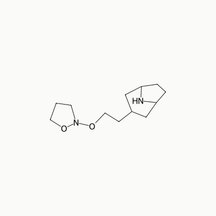 C1CON(OCCC2CC3CCC(C2)N3)C1